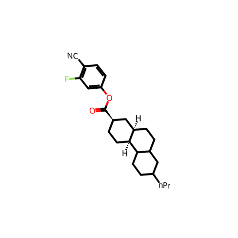 CCCC1CCC2C(CC[C@@H]3C[C@H](C(=O)Oc4ccc(C#N)c(F)c4)CC[C@H]23)C1